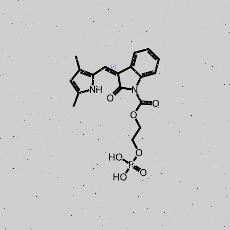 Cc1cc(C)c(/C=C2\C(=O)N(C(=O)OCCOP(=O)(O)O)c3ccccc32)[nH]1